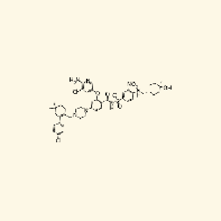 CC1(C)CCC(CN2CCN(c3ccc(C(=O)NS(=O)(=O)c4ccc(NC[C@H]5CC[C@](C)(O)CC5)c([N+](=O)[O-])c4)c(Oc4cnc(N)c(Cl)c4)c3)CC2)=C(c2ccc(Cl)cc2)C1